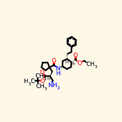 CCOC(=O)[C@@H]1CC[C@H](NC(=O)C2(C[C@@H](CN)C(=O)OC(C)(C)C)CCCC2)C[C@@H]1CCc1ccccc1